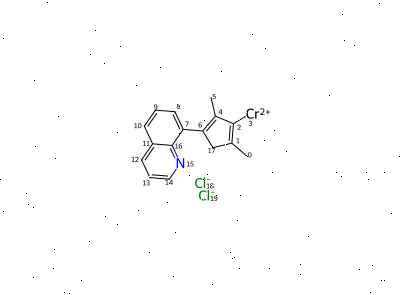 CC1=[C]([Cr+2])C(C)=C(c2cccc3cccnc23)C1.[Cl-].[Cl-]